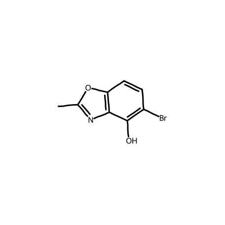 Cc1nc2c(O)c(Br)ccc2o1